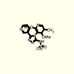 COC1=C(n2c(N[SH](=O)=O)nnc2-c2cccnc2)C(OC)C(C)C=N1